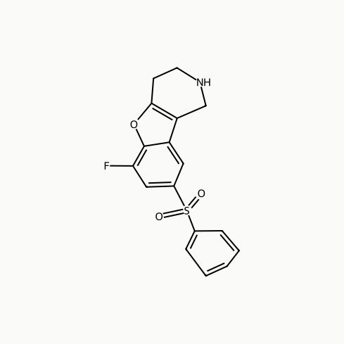 O=S(=O)(c1ccccc1)c1cc(F)c2oc3c(c2c1)CNCC3